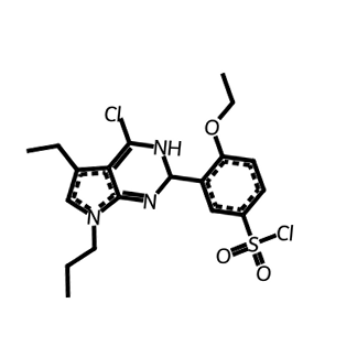 CCCn1cc(CC)c2c1=NC(c1cc(S(=O)(=O)Cl)ccc1OCC)NC=2Cl